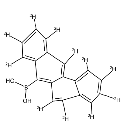 [2H]c1c([2H])c([2H])c2c([2H])c3c(c([2H])c([2H])c4c([2H])c([2H])c([2H])c([2H])c43)c(B(O)O)c2c1[2H]